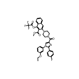 CCOc1cccc(-n2cc(C(=O)N3CCN(c4cc5ccccc5c(OC(=O)C(F)(F)F)c4C(=O)OC)CC3)nc2-c2ccc(F)cc2)c1